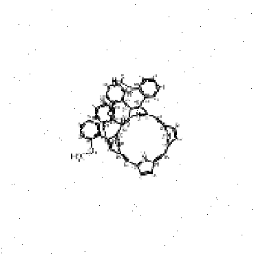 COc1ccccc1C1=CC2=CC3=NC(=CC4=NC(=CC5=NC(=C(c6ccccc6OC)C1=N2)C(c1ccccc1OC)=C5c1ccccc1OC)C=C4)C=C3